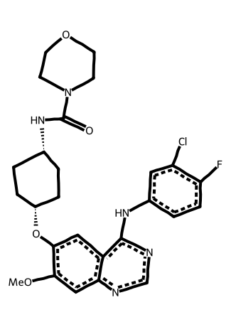 COc1cc2ncnc(Nc3ccc(F)c(Cl)c3)c2cc1O[C@H]1CC[C@@H](NC(=O)N2CCOCC2)CC1